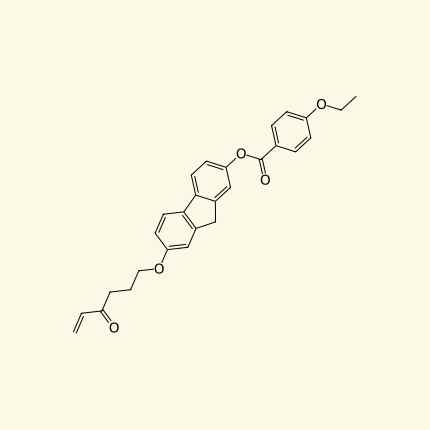 C=CC(=O)CCCOc1ccc2c(c1)Cc1cc(OC(=O)c3ccc(OCC)cc3)ccc1-2